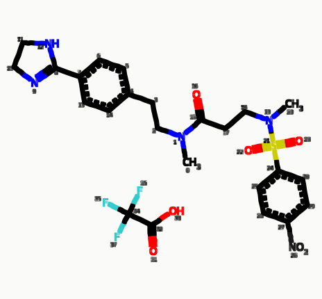 CN(CCc1ccc(C2=NCCN2)cc1)C(=O)CCN(C)S(=O)(=O)c1ccc([N+](=O)[O-])cc1.O=C(O)C(F)(F)F